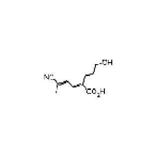 CC(C#N)=CC=C(CCCO)C(=O)O